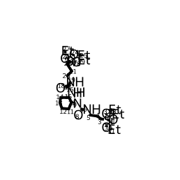 CCO[Si](CCCNC(=O)N[C@H]1CCCC[C@@H]1NC(=O)NCCC[Si](OCC)(OCC)OCC)(OCC)OCC